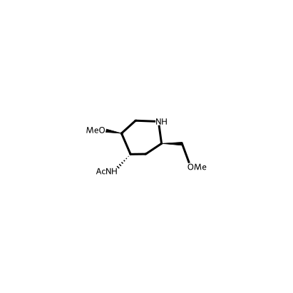 COC[C@H]1C[C@H](NC(C)=O)[C@@H](OC)CN1